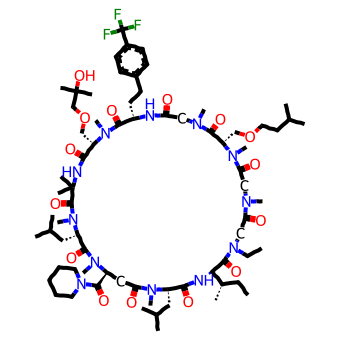 CC[C@H](C)[C@@H]1NC(=O)[C@H](CC(C)C)N(C)C(=O)C[C@@H](C(=O)N2CCCCC2)N(C)C(=O)[C@H](CC(C)C)N(C)C(=O)C(C)(C)NC(=O)[C@H](COCC(C)(C)O)N(C)C(=O)[C@H](CCc2ccc(C(F)(F)F)cc2)NC(=O)CN(C)C(=O)[C@H](COCCC(C)C)N(C)C(=O)CN(C)C(=O)CN(CC)C1=O